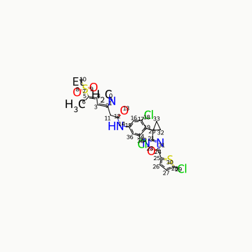 C=N/C(=C\C=C(/C)S(=O)(=O)CC)CC(=O)Nc1cc(Cl)c(C2(c3noc(-c4ccc(Cl)s4)n3)CC2)c(Cl)c1